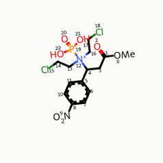 COC(=O)CC(c1ccc([N+](=O)[O-])cc1)[N+](CCCl)(CCCl)P(=O)(O)O